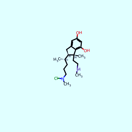 C[IH]CC[C@@]1(C)c2c(O)cc(O)cc2C[C@@H]1[C@@H](C)CCCN(C)Cl